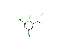 [CH2]C(CF)c1cc(Cl)cc(Cl)c1Cl